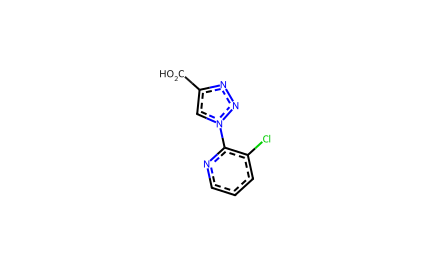 O=C(O)c1cn(-c2ncccc2Cl)nn1